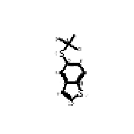 CC(C)(C)Sc1ccc2s[c]cc2c1